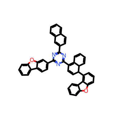 C1=CC2=C(c3nc(-c4ccc5ccccc5c4)nc(-c4ccc5c(c4)oc4ccccc45)n3)C=CC(c3cccc4oc5ccccc5c34)C2C=C1